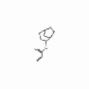 C=CC(=O)OC1CCC2CCC1C2